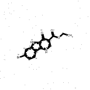 CCOC(=O)c1c[nH]c2c([nH]c3cc(Br)ccc32)c1=O